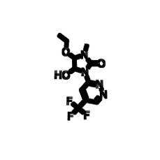 CCOC1C(O)N(c2cc(C(F)(F)F)cnn2)C(=O)N1C